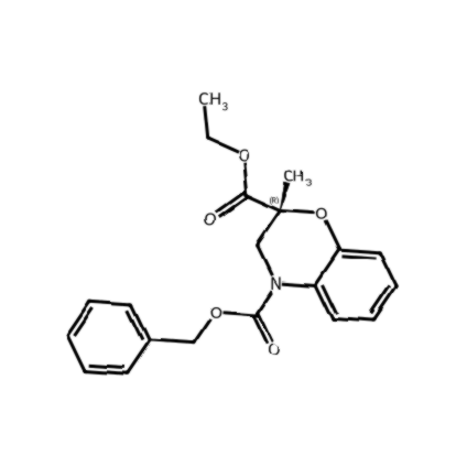 CCOC(=O)[C@@]1(C)CN(C(=O)OCc2ccccc2)c2ccccc2O1